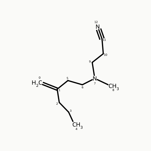 C=C(CCC)CCN(C)CCC#N